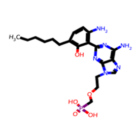 CCCCCCc1ccc(N)c(-c2nc(N)c3ncn(CCOCP(=O)(O)O)c3n2)c1O